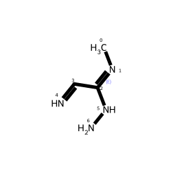 C/N=C(\C=N)NN